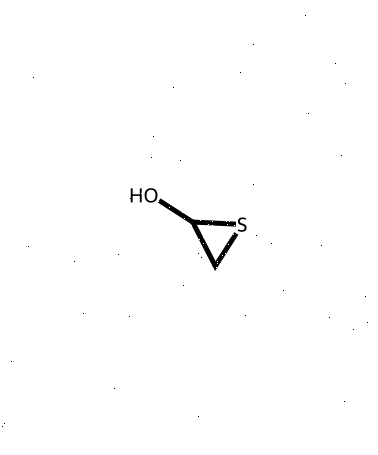 OC1CS1